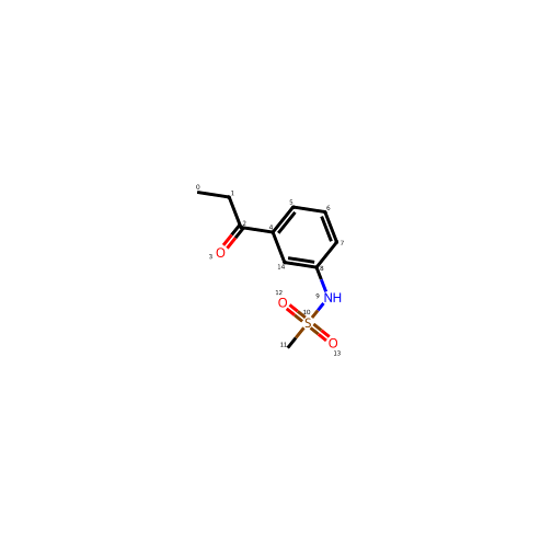 CCC(=O)c1cccc(NS(C)(=O)=O)c1